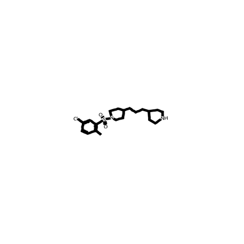 Cc1ccc(Cl)cc1S(=O)(=O)N1CCC(CCCC2CCNCC2)CC1